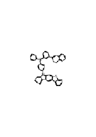 C1=C(c2cccc(N(c3ccccc3)c3ccc(-n4c5ccccc5c5cc6c(cc54)sc4ccccc46)cc3)c2)CCc2ccccc21